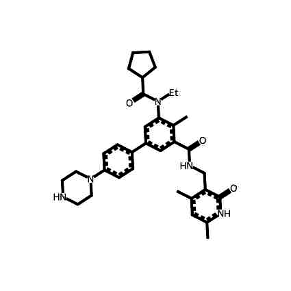 CCN(C(=O)C1CCCC1)c1cc(-c2ccc(N3CCNCC3)cc2)cc(C(=O)NCc2c(C)cc(C)[nH]c2=O)c1C